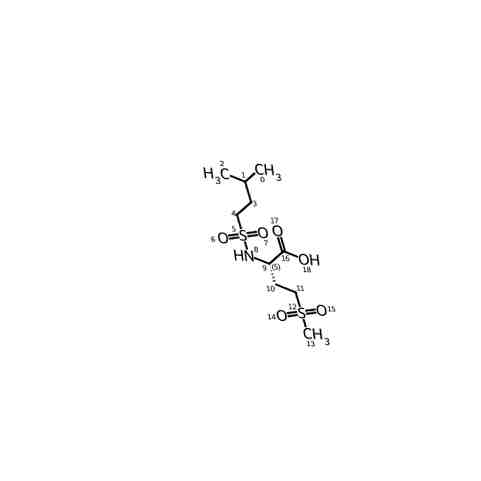 CC(C)CCS(=O)(=O)N[C@@H](CCS(C)(=O)=O)C(=O)O